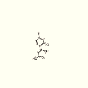 O=C(O)C=C(O)c1ccc(F)cc1Cl